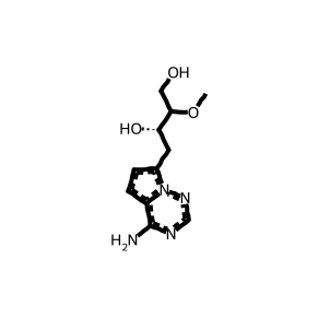 COC(CO)[C@@H](O)Cc1ccc2c(N)ncnn12